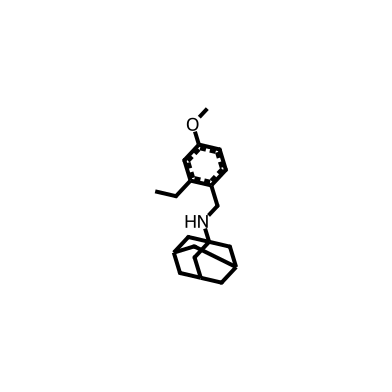 CCc1cc(OC)ccc1CNC12CC3CC(CC(C3)C1)C2